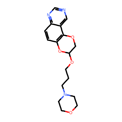 c1ncc2c3c(ccc2n1)OC(OCCCN1CCOCC1)CO3